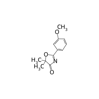 COc1cccc(C2=NC(=O)C(C)(C)O2)c1